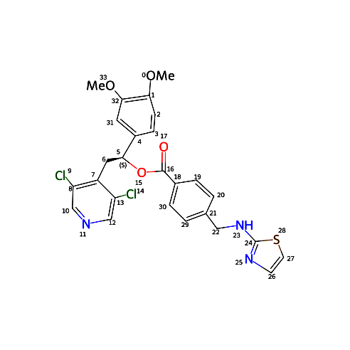 COc1ccc([C@H](Cc2c(Cl)cncc2Cl)OC(=O)c2ccc(CNc3nccs3)cc2)cc1OC